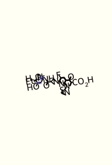 CCC(/C(O)=C\C(=N/C)NC(=O)C1CN(c2nc3c(cc2F)c(=O)c(C(=O)O)cn3-c2nccs2)C1)C(C)C